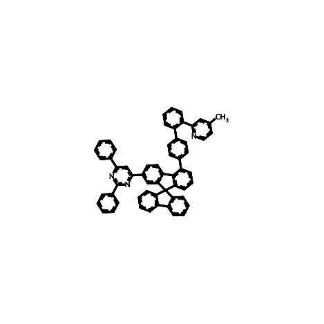 Cc1ccnc(-c2ccccc2-c2ccc(-c3cccc4c3-c3ccc(-c5cc(-c6ccccc6)nc(-c6ccccc6)n5)cc3C43c4ccccc4-c4ccccc43)cc2)c1